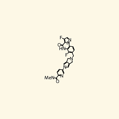 CNC(=O)c1ccc(-n2cc3c(c2)CN(Cc2ccc4c([nH]c(=O)c5c(F)cnn54)c2F)C3)cn1